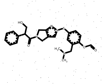 CN(C)Cc1cc(Sn2cc3c(n2)CN(C(=O)C(CO)c2ccccc2)C3)ccc1OC=O